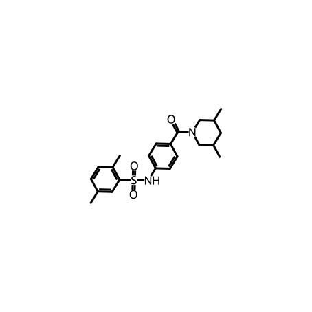 Cc1ccc(C)c(S(=O)(=O)Nc2ccc(C(=O)N3CC(C)CC(C)C3)cc2)c1